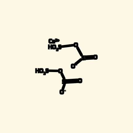 O=[Si]([O-])OS(=O)(=O)O.O=[Si]([O-])OS(=O)(=O)O.[Ca+2]